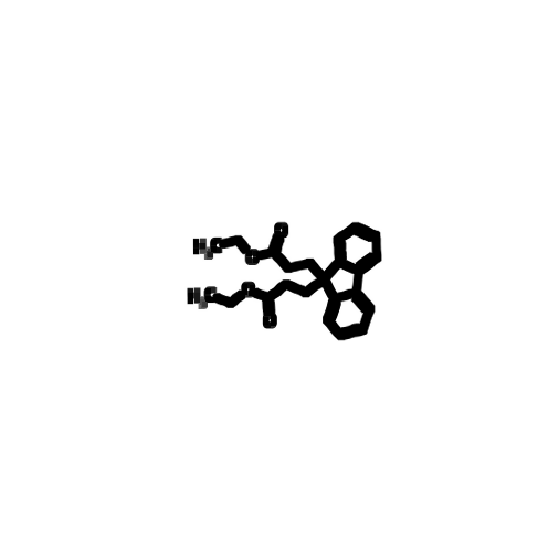 CCOC(=O)CCC1(CCC(=O)OCC)c2ccccc2-c2ccccc21